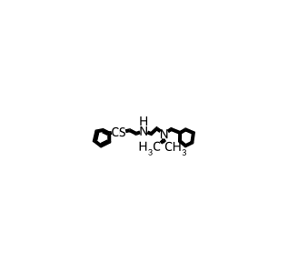 CC(C)N(CCNCCSCc1ccccc1)CC1CCCCC1